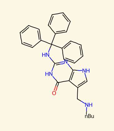 CCCCNCc1c[nH]c2nc(NC(c3ccccc3)(c3ccccc3)c3ccccc3)[nH]c(=O)c12